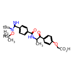 CC(NC(=O)c1ccc(C(=N)N(O[SiH](C)C)C(C)(C)C)cc1)C(=O)c1ccc(OCC(=O)O)cc1